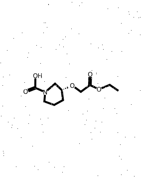 CCOC(=O)CO[C@@H]1CCCN(C(=O)O)C1